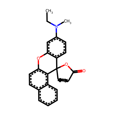 CCN(C)c1ccc2c(c1)Oc1ccc3ccccc3c1C21OC(=O)c2ccccc21